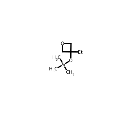 CCC1(O[Si](C)(C)C)[CH]OC1